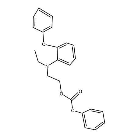 CCN(CCOC(=O)Oc1ccccc1)c1ccccc1Oc1ccccc1